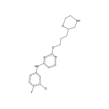 Fc1ccc(Nc2ccnc(OCCCC3CNCCO3)n2)cc1Cl